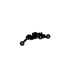 O=C(N[C@@H](Cc1ccc(OCc2ccccc2)cc1)C(=O)O)c1cn2ccc(C#Cc3ccccc3)cc2n1